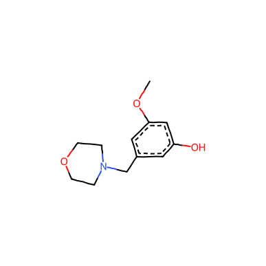 COc1cc(O)cc(CN2CCOCC2)c1